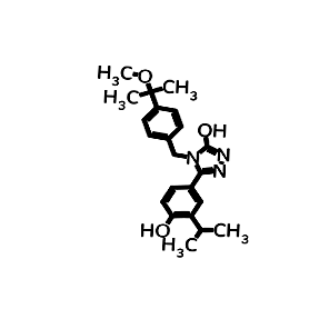 COC(C)(C)c1ccc(Cn2c(O)nnc2-c2ccc(O)c(C(C)C)c2)cc1